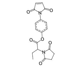 CCC(C(=O)Oc1ccc(N2C(=O)C=CC2=O)cc1)N1C(=O)CCC1=O